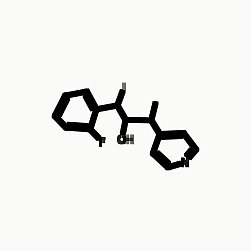 CC(c1ccncc1)C(O)C(I)c1ccccc1F